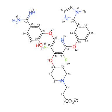 CCOC(=O)CCN1CCC(Oc2c(F)c(Oc3cccc(-c4nccn4C)c3)nc(Oc3cc(C(=N)N)ccc3O)c2F)CC1